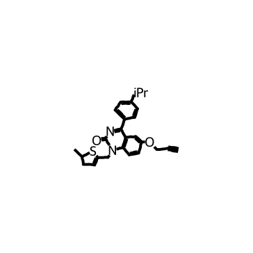 C#CCOc1ccc2c(c1)c(-c1ccc(C(C)C)cc1)nc(=O)n2CC1=CCC(C)S1